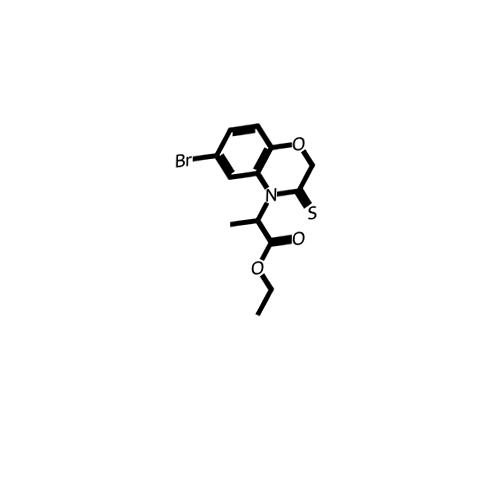 CCOC(=O)C(C)N1C(=S)COc2ccc(Br)cc21